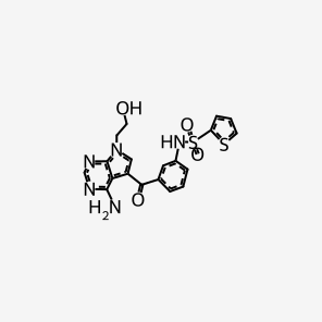 Nc1ncnc2c1c(C(=O)c1cccc(NS(=O)(=O)c3cccs3)c1)cn2CCO